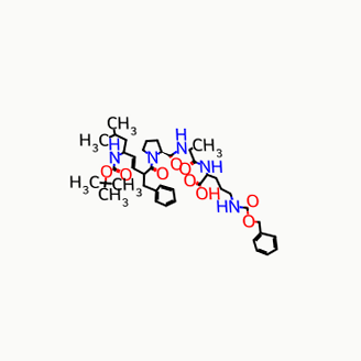 CC(C)CC(/C=C/C(Cc1ccccc1)C(=O)N1CCC[C@H]1C(=O)NC(C)C(=O)NC(CCCNC(=O)OCc1ccccc1)C(=O)O)NC(=O)OC(C)(C)C